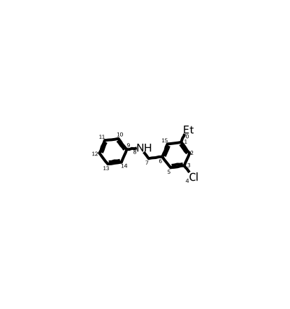 CCc1cc(Cl)cc(CNc2ccccc2)c1